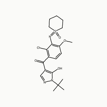 COc1ccc(C(=O)c2cnn(C(C)(C)C)c2O)c(Cl)c1N=S1(=O)CCCCC1